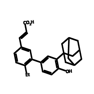 CCc1ccc(C=CC(=O)O)cc1-c1ccc(O)c(C23CC4CC(CC(C4)C2)C3)c1